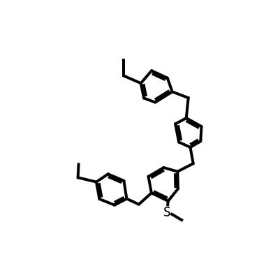 CCc1ccc(Cc2ccc(Cc3ccc(Cc4ccc(CC)cc4)c(SC)c3)cc2)cc1